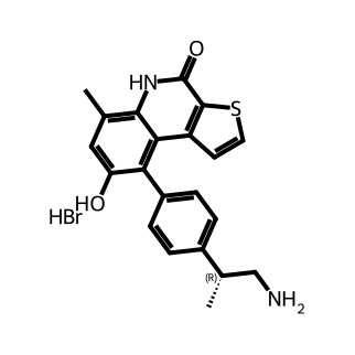 Br.Cc1cc(O)c(-c2ccc([C@@H](C)CN)cc2)c2c1[nH]c(=O)c1sccc12